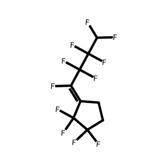 FC(=C1CCC(F)(F)C1(F)F)C(F)(F)C(F)(F)C(F)F